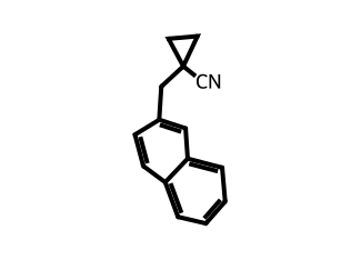 N#CC1(Cc2ccc3ccccc3c2)CC1